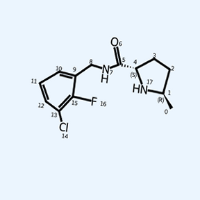 C[C@@H]1CC[C@@H](C(=O)NCc2cccc(Cl)c2F)N1